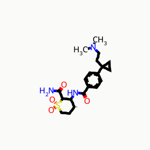 CN(C)CCC1(c2ccc(C(=O)NC3[CH]CCS(=O)(=O)C3C(N)=O)cc2)CC1